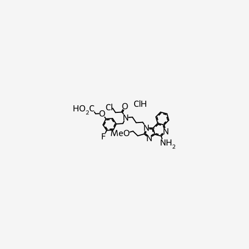 COCCc1nc2c(N)nc3ccccc3c2n1CCCN(Cc1cc(F)cc(OCC(=O)O)c1)C(=O)CCl.Cl